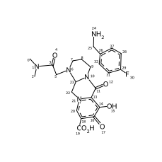 CN(C)C(=O)CN1CCCN2C(=O)c3c(O)c(=O)c(C(=O)O)cn3CC12.NCc1ccc(F)cc1